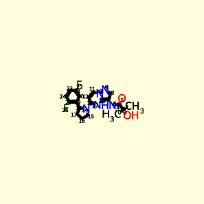 CC(C)(O)C(=O)Nc1cnn2ccc(N3CCCC3c3cc(F)ccc3F)nc12